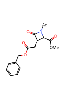 COC(=O)[C@H]1[C@@H](CC(=O)OCc2ccccc2)C(=O)N1C(C)=O